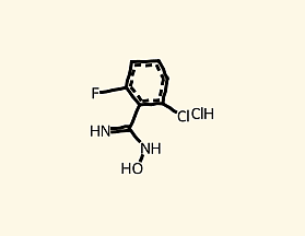 Cl.N=C(NO)c1c(F)cccc1Cl